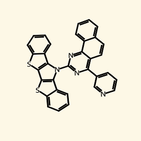 c1cncc(-c2nc(-n3c4c5ccccc5sc4c4sc5ccccc5c43)nc3c2ccc2ccccc23)c1